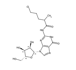 CC(CCCCl)C(=O)Nc1nc2c(ncn2[C@@H]2O[C@H](CO)[C@@H](O)[C@H]2O)c(=O)[nH]1